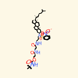 CC(C)CCC[C@@H](C)[C@H]1CCC2C3CC=C4C[C@@H](N(CCCNC(=O)CCNC(=O)CCOC(=O)NC(C)(C)C)S(=O)(=O)c5ccccc5[N+](=O)[O-])CC[C@]4(C)C3CC[C@@]21C